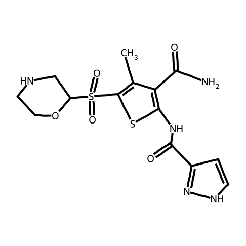 Cc1c(S(=O)(=O)C2CNCCO2)sc(NC(=O)c2cc[nH]n2)c1C(N)=O